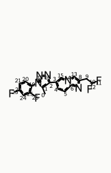 Cc1c(-c2ccc3nc(CC(F)F)cn3c2)nnn1-c1ccc(F)cc1F